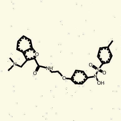 Cc1ccc(S(=O)(=O)N(O)c2ccc(OCCNC(=O)c3oc4ccccc4c3CN(C)C)cc2)cc1